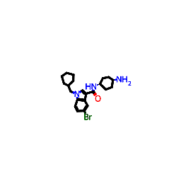 N[C@H]1CC[C@H](NC(=O)c2cn(CC3CCCCC3)c3ccc(Br)cc23)CC1